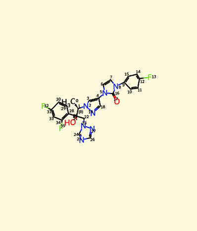 C[C@@H](n1cc(-n2ccn(-c3ccc(F)cc3)c2=O)cn1)[C@](O)(Cn1cncn1)c1ccc(F)cc1F